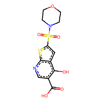 O=C(O)c1cnc2sc(S(=O)(=O)N3CCOCC3)cc2c1O